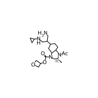 CC(=O)N1C2CCC(C(CN)CNC3CC3)CC2N(C(=O)OC2COC2)C[C@@H]1C